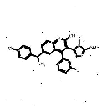 CSc1nnc(-c2c(C)nc3ccc(C(N)c4ccc(Cl)cc4)cc3c2-c2cccc(Cl)c2)n1C